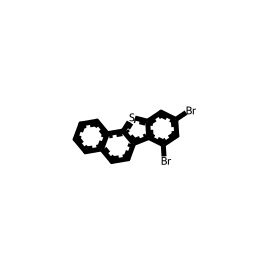 Brc1cc(Br)c2c(c1)sc1c3ccccc3ccc12